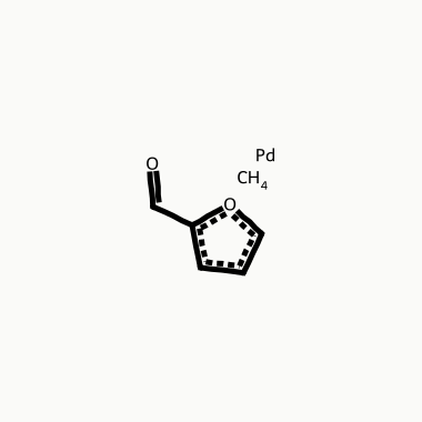 C.O=Cc1ccco1.[Pd]